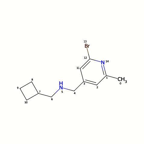 Cc1cc(CNCC2CCC2)cc(Br)n1